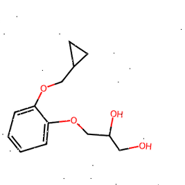 OCC(O)COc1ccccc1OCC1CC1